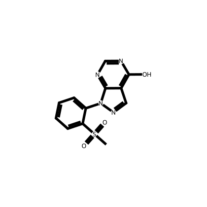 CS(=O)(=O)c1ccccc1-n1ncc2c(O)ncnc21